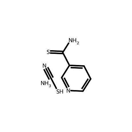 N.N#CS.NC(=S)c1cccnc1